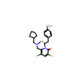 CN(Cc1c(Cl)cc(Cl)c(=O)n1CCc1ccc(C(=O)O)cc1)CC1CCCC1